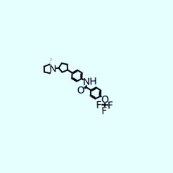 C[C@H]1CCCN1C1CCC(c2ccc(NC(=O)c3ccc(OC(F)(F)F)cc3)cc2)C1